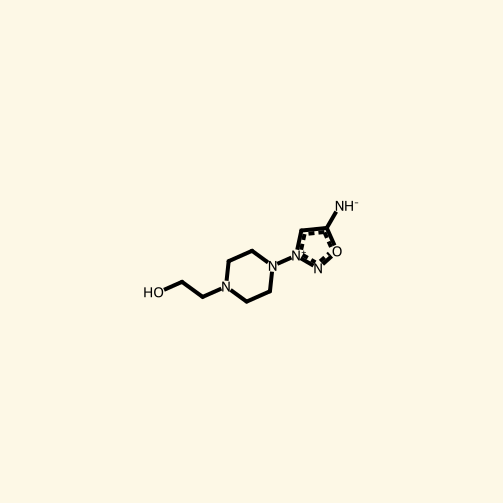 [NH-]c1c[n+](N2CCN(CCO)CC2)no1